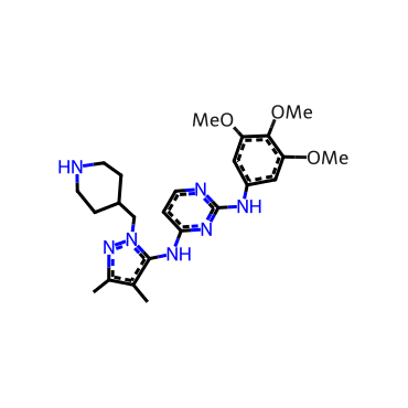 COc1cc(Nc2nccc(Nc3c(C)c(C)nn3CC3CCNCC3)n2)cc(OC)c1OC